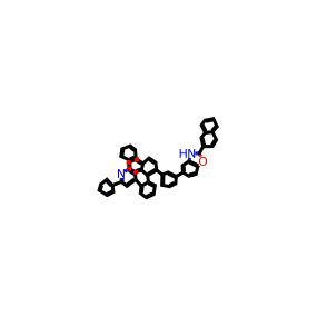 c1ccc(-c2cc(-c3ccccc3-c3c(-c4cccc(-c5ccc6c(c5)NC(c5ccc7ccccc7c5)O6)c4)ccc4ccccc34)cc(-c3ccccc3)n2)cc1